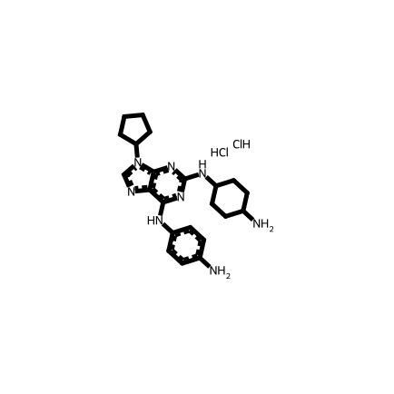 Cl.Cl.Nc1ccc(Nc2nc(NC3CCC(N)CC3)nc3c2ncn3C2CCCC2)cc1